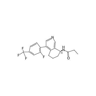 CCC(=O)N[C@H]1CCCc2c(-c3ccc(C(F)(F)F)cc3F)cncc21